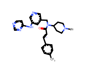 CC(C)N1CCC(N(Cc2cncc(Nc3ccncn3)c2)C(=O)/C=C/c2ccc(C(F)(F)F)cc2)CC1